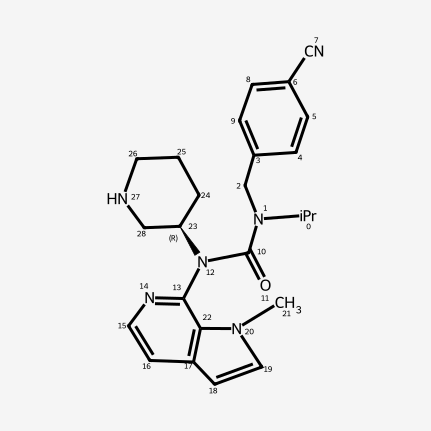 CC(C)N(Cc1ccc(C#N)cc1)C(=O)N(c1nccc2ccn(C)c12)[C@@H]1CCCNC1